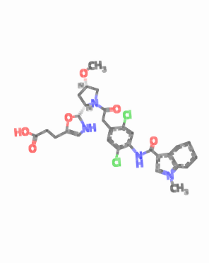 CO[C@H]1C[C@@H](C2NC=C(CCC(=O)O)O2)N(C(=O)Cc2cc(Cl)c(NC(=O)c3cn(C)c4ccccc34)cc2Cl)C1